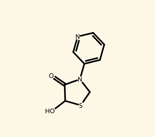 O=C1C(O)SCN1c1cccnc1